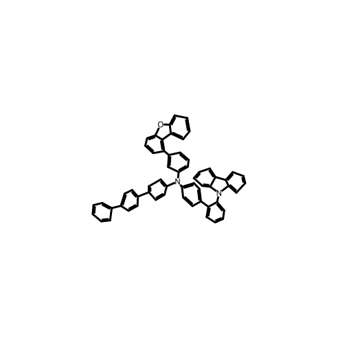 c1ccc(-c2ccc(-c3ccc(N(c4ccc(-c5ccccc5-n5c6ccccc6c6ccccc65)cc4)c4cccc(-c5cccc6oc7ccccc7c56)c4)cc3)cc2)cc1